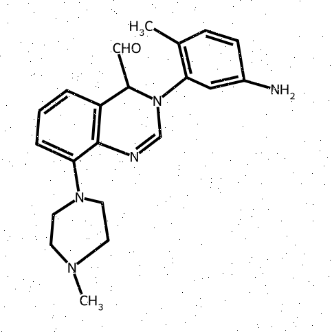 Cc1ccc(N)cc1N1C=Nc2c(cccc2N2CCN(C)CC2)C1C=O